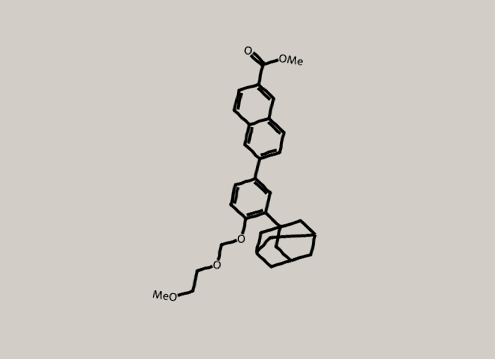 COCCOCOc1ccc(-c2ccc3cc(C(=O)OC)ccc3c2)cc1C12CC3CC(CC(C3)C1)C2